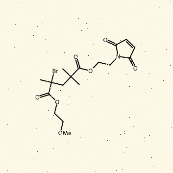 COCCOC(=O)C(C)(Br)CC(C)(C)C(=O)OCCN1C(=O)C=CC1=O